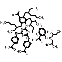 CC(O)COC(C)CO.CCCCC(CC)Cc1cc(C(=O)O)c(CC(CC)CCCC)c(CC(CC)CCCC)c1Nc1nc(Nc2ccc(C(=O)O)cc2)nc(Nc2ccc(C(=O)O)cc2)n1.O=C(O)c1ccccc1O